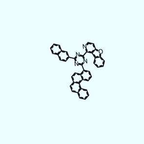 c1ccc2cc(-c3nc(-c4cccc5c4ccc4ccc6ccccc6c45)nc(-c4nccc5oc6ccccc6c45)n3)ccc2c1